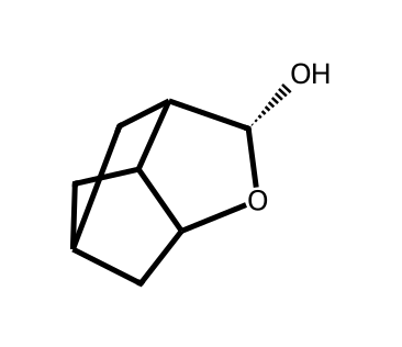 O[C@@H]1OC2CC3CC2C1C3